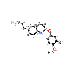 CCOc1ccc(Oc2ccc3cc(CCN)ccc3n2)cc1Cl